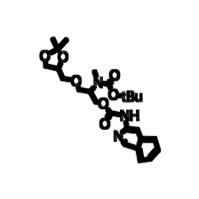 CN(C(=O)OC(C)(C)C)C(COCC1COC(C)(C)O1)COC(=O)Nc1cc2ccccc2cn1